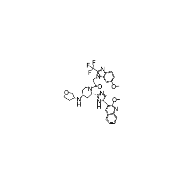 COc1ccc2nc(C(F)(F)F)n(CC(=O)N3CC[C@H](N[C@@H]4CCOC4)C[C@H]3c3ncc(-c4cc5ccccc5nc4OC)[nH]3)c2c1